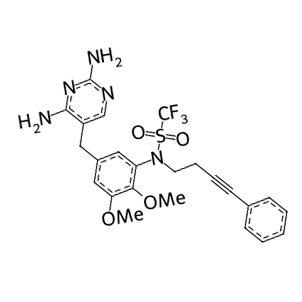 COc1cc(Cc2cnc(N)nc2N)cc(N(CCC#Cc2ccccc2)S(=O)(=O)C(F)(F)F)c1OC